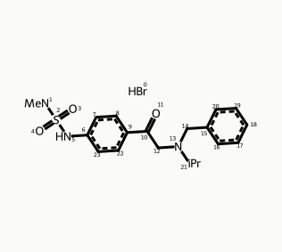 Br.CNS(=O)(=O)Nc1ccc(C(=O)CN(Cc2ccccc2)C(C)C)cc1